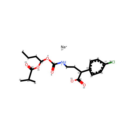 CCCC(OC(=O)NCCC(C(=O)[O-])c1ccc(Cl)cc1)OC(=O)C(C)C.[Na+]